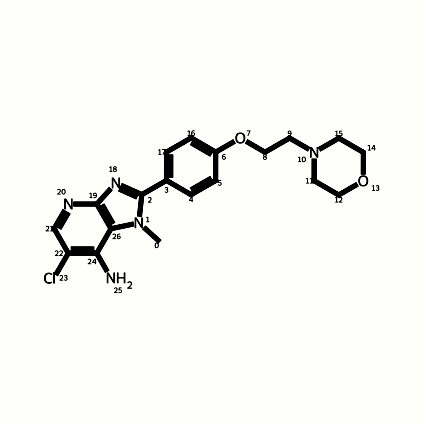 Cn1c(-c2ccc(OCCN3CCOCC3)cc2)nc2ncc(Cl)c(N)c21